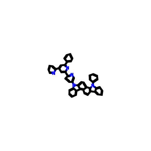 c1ccc(-c2cc(-c3ccccn3)cc(-c3ccc(-n4c5ccccc5c5c6ccc7c8ccccc8n(-c8ccccc8)c7c6ccc54)cn3)n2)cc1